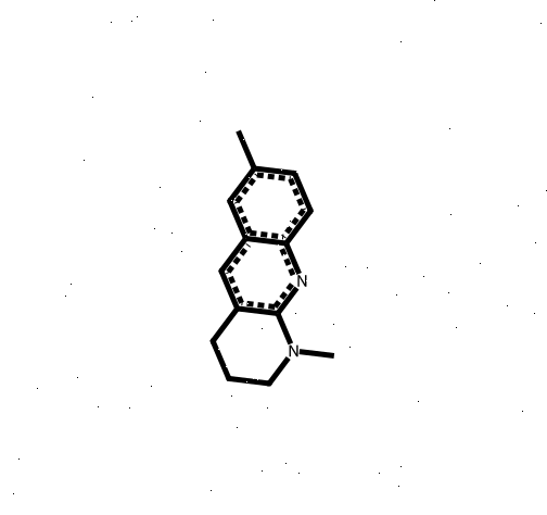 Cc1ccc2nc3c(cc2c1)CCCN3C